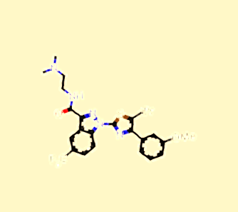 COc1cccc(-c2nc(-n3nc(C(=O)NCCN(C)C)c4cc(C(F)(F)F)ccc43)sc2C(C)C)c1